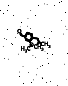 COc1cc(C=O)ccc1CC(C)C